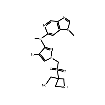 CCc1cn(CS(=O)(=O)C2(CC#N)CNC2)nc1N(C)c1cc2c(cn1)ncn2C